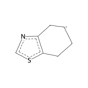 [C]1CCc2scnc2C1